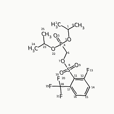 CC(C)OP(=O)(COS(=O)(=O)c1c(F)cccc1C(F)(F)F)OC(C)C